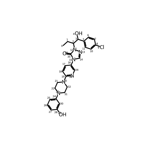 CCC(C(O)c1ccc(Cl)cc1)n1ncn(-c2ccc(N3CCN(c4cccc(O)c4)CC3)nc2)c1=O